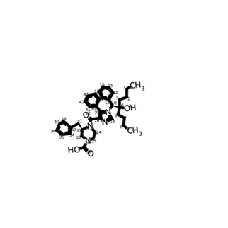 CCCCC(O)(CCCC)[C@H](c1ccccc1)n1cnc(C(=O)N2CCN(C(=O)O)C[C@H]2Cc2ccccc2)c1-c1ccccc1